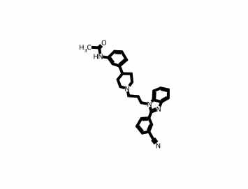 CC(=O)Nc1cccc(C2CCN(CCCn3c(-c4cccc(C#N)c4)nc4ccccc43)CC2)c1